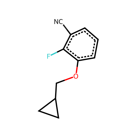 N#Cc1cccc(OCC2CC2)c1F